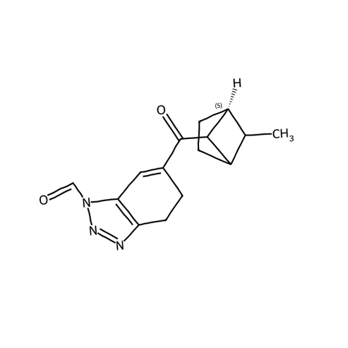 CC1C2CC[C@@H]1C2C(=O)C1=Cc2c(nnn2C=O)CC1